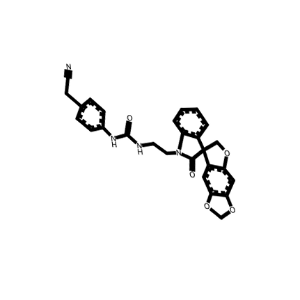 N#CCc1ccc(NC(=O)NCCN2C(=O)C3(COc4cc5c(cc43)OCO5)c3ccccc32)cc1